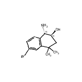 CC1(C)C[C@H](O)[C@@H](N)c2ccc(Br)cc21